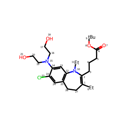 CCC1=C(CCCC(=O)OC(C)(C)C)N(CC)c2cc(N(CCO)CCO)c(Cl)cc2CC1